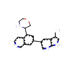 Cc1c[nH]c2ncc(-c3cc(C4COCCN4)c4ccncc4c3)cc12